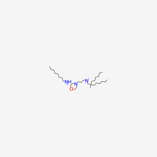 CCCCCCCCNC[C@@H]1CN(CCCN(C)CC(C)(CCCCCC)CCCCCC)CCO1